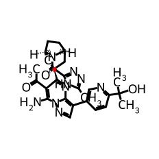 CC(=O)c1c([C@H]2C[C@H]3CC[C@@H](C2)N3C(=O)c2nnc(C)[nH]2)nc2c(-c3ccc(C(C)(C)O)nc3)cnn2c1N